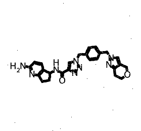 Nc1ccc2c(n1)CCC2NC(=O)c1cn(Cc2ccc(Cn3cc4c(n3)CCOC4)cc2)nn1